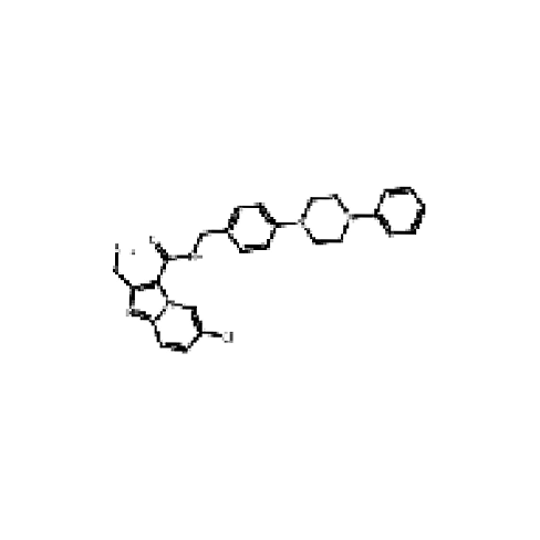 CCc1nc2ccc(Cl)cn2c1C(=O)NCc1ccc(N2CCN(c3ccccc3)CC2)cc1